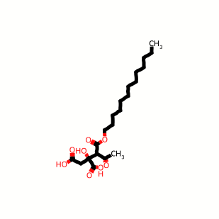 CCCCCCCCCCCCCOC(=O)C(C(C)=O)C(O)(CC(=O)O)C(=O)O